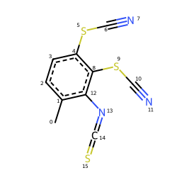 Cc1ccc(SC#N)c(SC#N)c1N=C=S